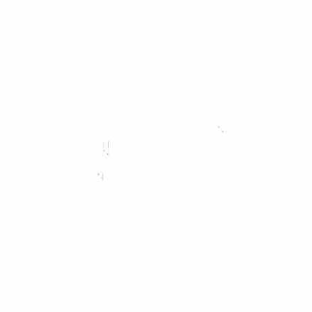 Cc1nc2ccc(-c3ccc(-c4cccnc4)cc3)cc2[nH]1